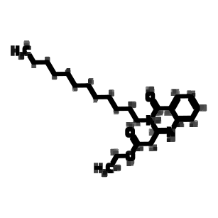 CCCCCCCCCCCCn1c(CC(=O)OCC)nc2ccccc2c1=O